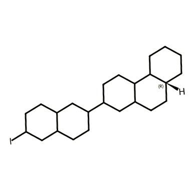 IC1CCC2CC(C3CCC4C(CC[C@H]5CCCCC45)C3)CCC2C1